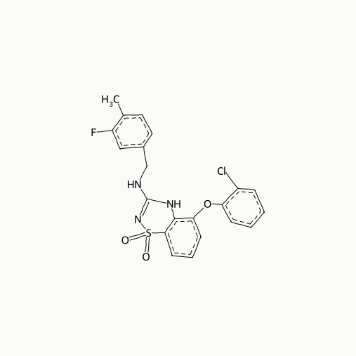 Cc1ccc(CNC2=NS(=O)(=O)c3cccc(Oc4ccccc4Cl)c3N2)cc1F